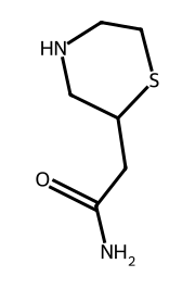 NC(=O)CC1CNCCS1